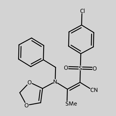 CSC(=C(C#N)S(=O)(=O)c1ccc(Cl)cc1)N(Cc1ccccc1)C1=COCO1